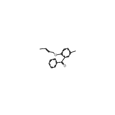 CC=CCOc1ccc(C)cc1C(=O)c1ccccc1